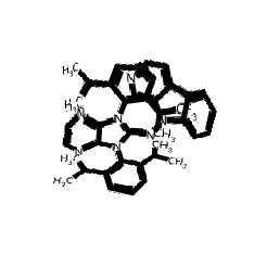 CC(C)c1cccc(C(C)C)c1-n1c(=Nn2c3ccccc3c3ccncc32)n(-c2c(C(C)C)cccc2C(C)C)c2nccnc21